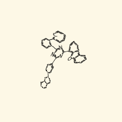 c1ccc(-c2ccccc2-c2nc(-c3ccc(-c4ccc5ccccc5c4)cc3)nc(-c3cccc4c3oc3ccccc34)n2)cc1